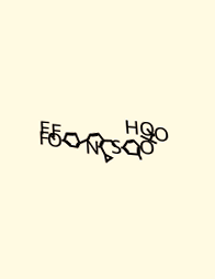 Cc1cc(SCc2ccc(-c3ccc(OC(F)(F)F)cc3)nc2C2CC2)ccc1OC(C)(C)C(=O)O